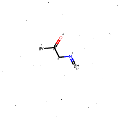 B=NCC(=O)C(C)C